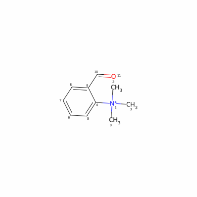 C[N+](C)(C)c1ccccc1C=O